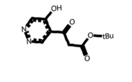 CC(C)(C)OC(=O)CC(=O)c1cnncc1O